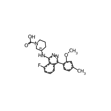 COc1cc(C)ccc1-c1nnc(N[C@@H]2CCCN(C(=O)O)C2)c2c(F)cccc12